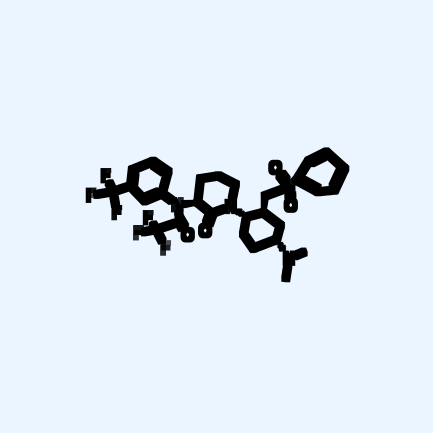 CN(C)[C@@H]1CC[C@H](N2CCC[C@H](N(C(=O)C(F)(F)F)c3cccc(C(F)(F)F)c3)C2=O)[C@@H](CS(=O)(=O)c2ccccc2)C1